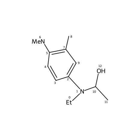 CCN(c1ccc(NC)c(C)c1)C(C)O